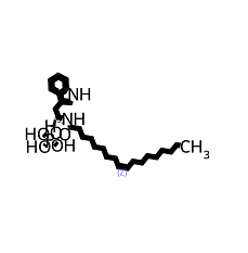 CCCCCCCC/C=C\CCCCCCCC(=O)N[C@H](CO[PH](O)(O)O)Cc1c[nH]c2ccccc12